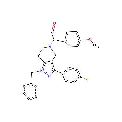 COc1ccc(C(C=O)N2CCc3c(c(-c4ccc(F)cc4)nn3Cc3ccccc3)C2)cc1